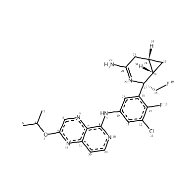 CC(C)Oc1cnc2c(Nc3cc(Cl)c(F)c([C@@]4(CF)N=C(N)C[C@@H]5C[C@@H]54)c3)nccc2n1